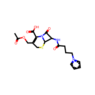 CC(=O)OCC1=C(C(=O)O)N2C(=O)C(NC(=O)CCCn3cccc3)C2SC1